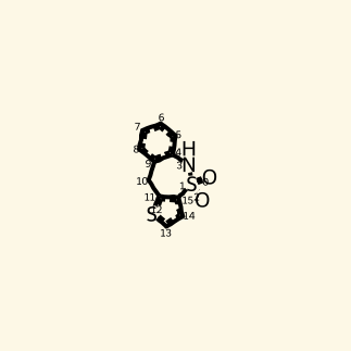 O=S1(=O)Nc2ccccc2Cc2sccc21